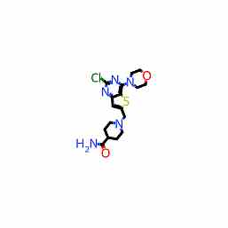 NC(=O)C1CCN(Cc2cc3nc(Cl)nc(N4CCOCC4)c3s2)CC1